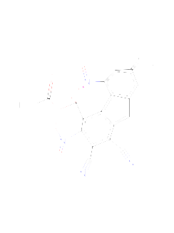 C=c1cc2c(c([N+](=O)[O-])c1)=c1c(C(=O)OC(C)=O)c([N+](=O)[O-])c(C#N)c(C#N)c1=C2